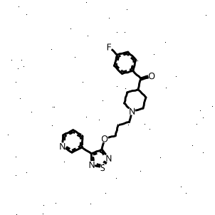 O=C(c1ccc(F)cc1)C1CCN(CCCOc2nsnc2-c2cccnc2)CC1